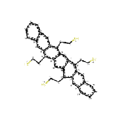 SCCc1c2cc3ccccc3cc2c(CCS)c2cc3c(CCS)c4cc5ccccc5cc4c(CCS)c3cc12